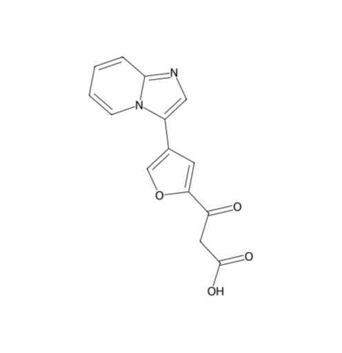 O=C(O)CC(=O)c1cc(-c2cnc3ccccn23)co1